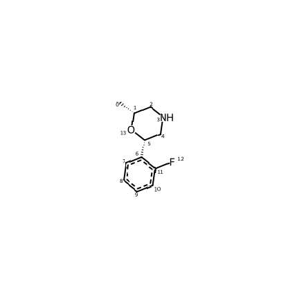 C[C@@H]1CNC[C@H](c2ccccc2F)O1